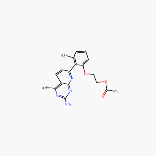 CNc1nc(N)nc2nc(-c3c(OCCOC(=O)C(F)(F)F)cccc3C(F)(F)F)ccc12